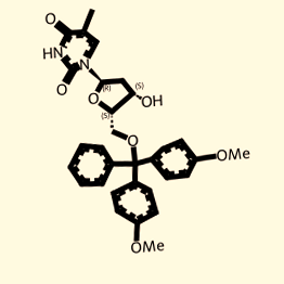 COc1ccc(C(OC[C@@H]2O[C@@H](n3cc(C)c(=O)[nH]c3=O)C[C@@H]2O)(c2ccccc2)c2ccc(OC)cc2)cc1